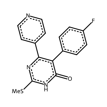 CSc1nc(-c2ccncc2)c(-c2ccc(F)cc2)c(=O)[nH]1